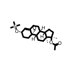 CC(=O)O[C@]1(C)CC[C@H]2[C@@H]3CCC4=C[C@@H](O[Si](C)(C)C)CC[C@]4(C=O)[C@H]3CC[C@@]21C